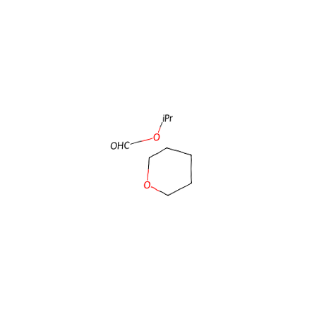 C1CCOCC1.CC(C)OC=O